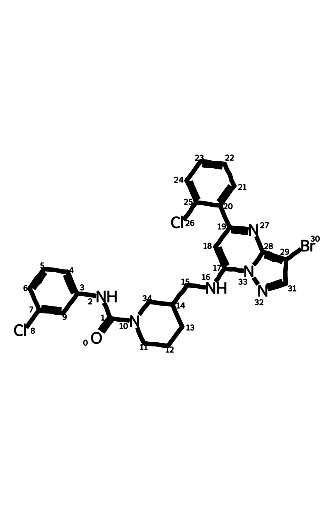 O=C(Nc1cccc(Cl)c1)N1CCCC(CNc2cc(-c3ccccc3Cl)nc3c(Br)cnn23)C1